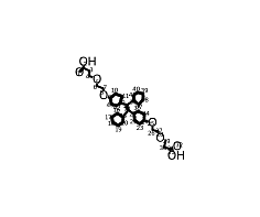 O=C(O)CCOCCOc1ccc(/C(=C(\c2ccccc2)c2ccc(OCCOCCC(=O)O)cc2)c2ccccc2)cc1